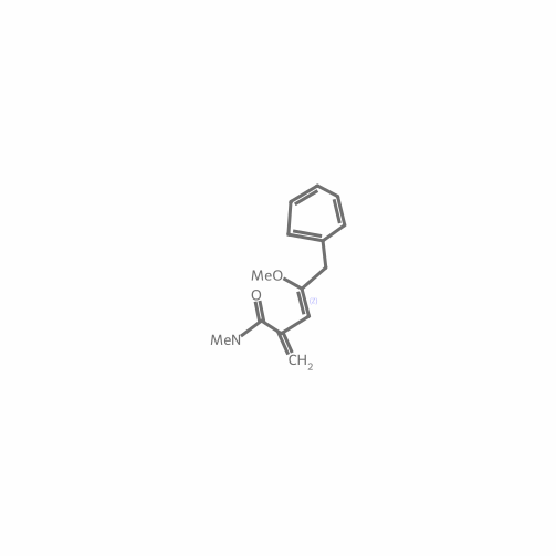 C=C(/C=C(/Cc1ccccc1)OC)C(=O)NC